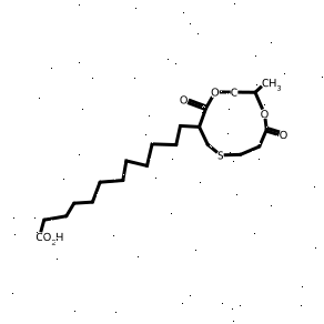 CC1COC(=O)C(CCCCCCCCCCCC(=O)O)CSCCC(=O)O1